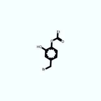 CCC(=O)Oc1ccc(CBr)cc1O